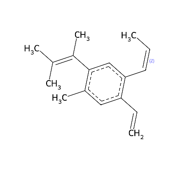 C=Cc1cc(C)c(C(C)=C(C)C)cc1/C=C\C